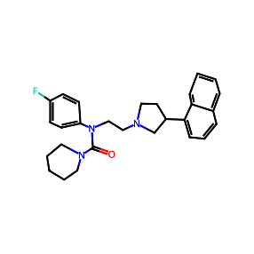 O=C(N1CCCCC1)N(CCN1CCC(c2cccc3ccccc23)C1)c1ccc(F)cc1